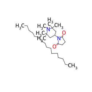 CCCCCCCCCCCCCCCC.CN1C(C)(C)CC(N2C(=O)CCC2=O)CC1(C)C